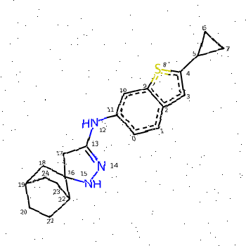 c1cc2cc(C3CC3)sc2cc1NC1=NNC2(C1)CC1CCC2CC1